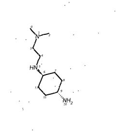 CN(C)CCN[C@H]1CC[C@H](N)CC1